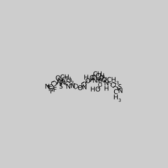 Cc1ncsc1-c1ccc([C@H](C)NC(=O)[C@@H]2C[C@@H](O)CC2C(=O)C(NC(=O)COc2ccc(OC3CCN(c4ccc(N5C(=S)N(c6ccc(C#N)c(C(F)(F)F)c6)C(=O)C5(C)C)cn4)CC3)nc2)C(C)(C)C)cc1